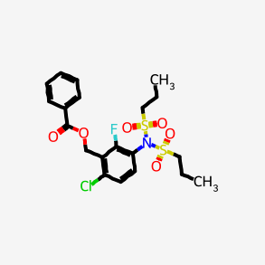 CCCS(=O)(=O)N(c1ccc(Cl)c(COC(=O)c2ccccc2)c1F)S(=O)(=O)CCC